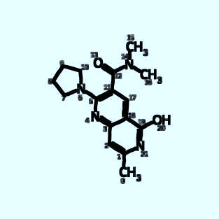 Cc1cc2nc(N3CCCC3)c(C(=O)N(C)C)cc2c(O)n1